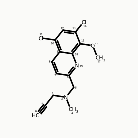 C#CCN(C)Cc1ccc2c(Cl)cc(Cl)c(OC)c2n1